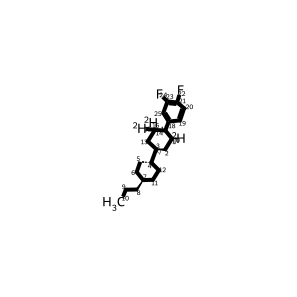 [2H][C@@H]1C[C@@H]([C@H]2CC[C@H](CCC)CC2)CC([2H])([2H])C1c1ccc(F)c(F)c1